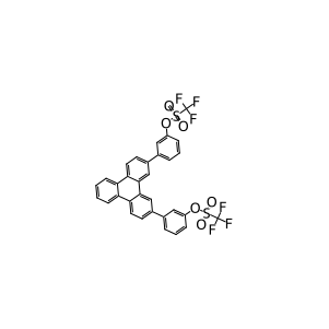 O=S(=O)(Oc1cccc(-c2ccc3c4ccccc4c4ccc(-c5cccc(OS(=O)(=O)C(F)(F)F)c5)cc4c3c2)c1)C(F)(F)F